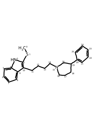 CSc1[nH]c2ccccc2c1CCCCN1CCCC(c2ccccc2)C1